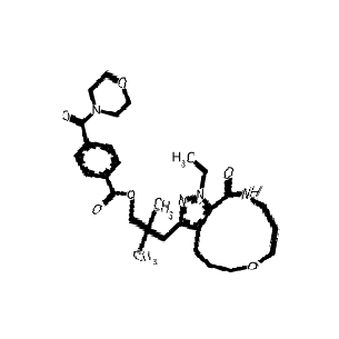 CCn1nc(CC(C)(C)COC(=O)c2ccc(C(=O)N3CCOCC3)cc2)c2c1C(=O)NCCCOCCC2